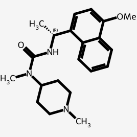 COc1ccc([C@@H](C)NC(=O)N(C)C2CCN(C)CC2)c2ccccc12